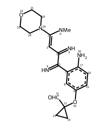 CN/C(=C\C(=N)C(=N)c1cc(OC2(C=O)CC2)ccc1N)N1CCOCC1